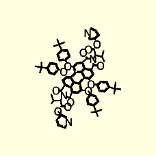 CC(C)C(C(=O)Oc1cccnc1)N1C(=O)c2cc(Oc3ccc(C(C)(C)C)cc3)c3c4c(Oc5ccc(C(C)(C)C)cc5)cc5c6c(cc(Oc7ccc(C(C)(C)C)cc7)c(c7c(Oc8ccc(C(C)(C)C)cc8)cc(c2c37)C1=O)c64)C(=O)N(C(C(=O)Oc1cccnc1)C(C)C)C5=O